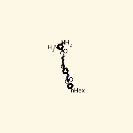 CCCCCCc1ccc(OC(=O)/C=C/c2ccc(OCCCCCOC(=O)c3cc(N)cc(N)c3)cc2)cc1